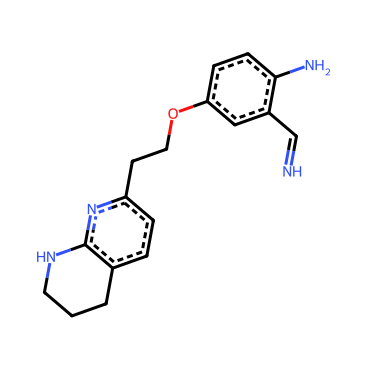 N=Cc1cc(OCCc2ccc3c(n2)NCCC3)ccc1N